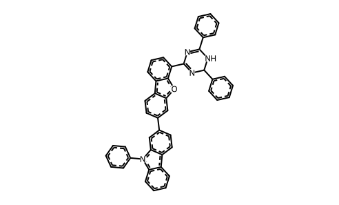 c1ccc(C2=NC(c3cccc4c3oc3cc(-c5ccc6c7ccccc7n(-c7ccccc7)c6c5)ccc34)=NC(c3ccccc3)N2)cc1